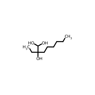 CCCCCCC(O)(CC)C(O)O